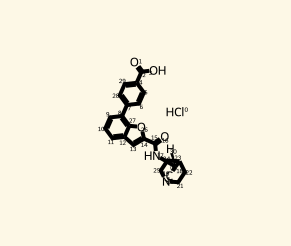 Cl.O=C(O)c1ccc(-c2cccc3cc(C(=O)N[C@H]4CN5CCC4CC5)oc23)cc1